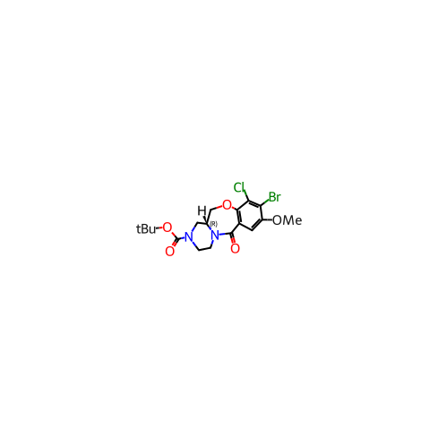 COc1cc2c(c(Cl)c1Br)OC[C@H]1CN(C(=O)OC(C)(C)C)CCN1C2=O